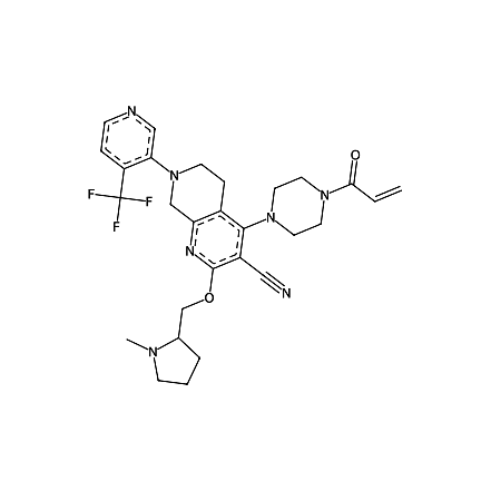 C=CC(=O)N1CCN(c2c(C#N)c(OCC3CCCN3C)nc3c2CCN(c2cnccc2C(F)(F)F)C3)CC1